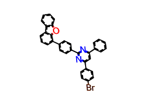 Brc1ccc(-c2cc(-c3ccccc3)nc(-c3ccc(-c4cccc5c4oc4ccccc45)cc3)n2)cc1